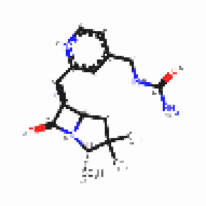 CC1(C)CC2/C(=C\c3cc(CNC(N)=O)ccn3)C(=O)N2[C@H]1C(=O)O